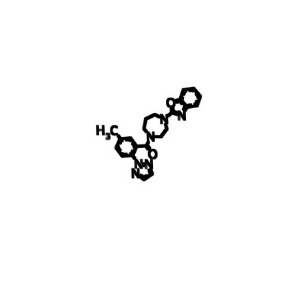 Cc1ccc(-n2nccn2)c(C(=O)N2CCCN(c3nc4ccccc4o3)CC2)c1